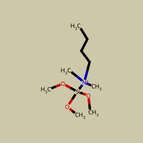 CCCC[N+](C)(C)[Si](OC)(OC)OC